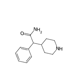 NC(=O)C(c1ccccc1)C1CCNCC1